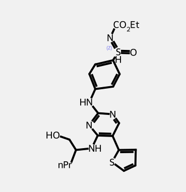 CCCC(CO)Nc1nc(Nc2ccc(/[SH](=O)=N/C(=O)OCC)cc2)ncc1-c1cccs1